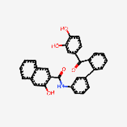 O=C(Nc1cccc(-c2ccccc2C(=O)c2ccc(O)c(O)c2)c1)c1cc2ccccc2cc1O